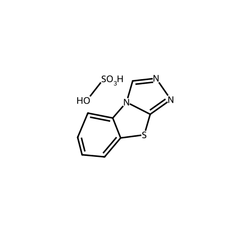 O=S(=O)(O)O.c1ccc2c(c1)sc1nncn12